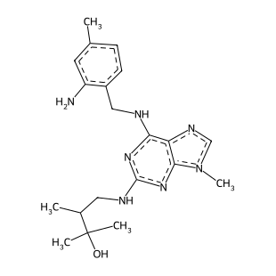 Cc1ccc(CNc2nc(NCC(C)C(C)(C)O)nc3c2ncn3C)c(N)c1